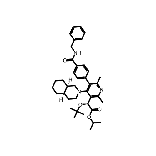 Cc1nc(C)c([C@H](OC(C)(C)C)C(=O)OC(C)C)c(N2CC[C@H]3CCCC[C@H]3C2)c1-c1ccc(C(=O)NCc2ccccc2)cc1